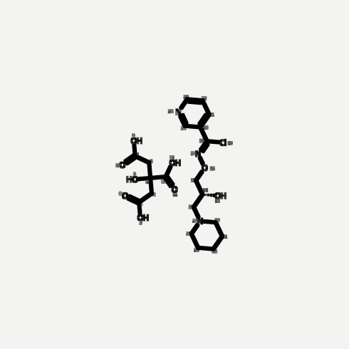 O=C(O)CC(O)(CC(=O)O)C(=O)O.O[C@@H](CON=C(Cl)c1cccnc1)CN1CCCCC1